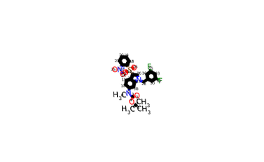 CN(C(=O)OC(C)(C)C)c1ccc2c(S(=O)(=O)c3ccccc3[N+](=O)[O-])cn(Cc3cc(F)cc(F)c3)c2c1